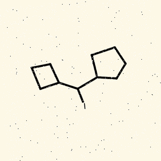 IC(C1CCCC1)C1CCC1